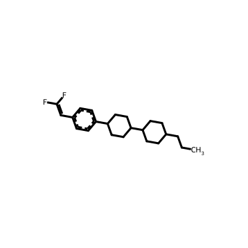 CCCC1CCC(C2CCC(c3ccc(C=C(F)F)cc3)CC2)CC1